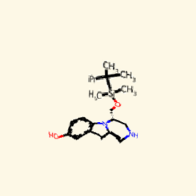 CC(C)C(C)(C)[Si](C)(C)OC[C@@H]1CNC=C2Cc3cc(O)ccc3N21